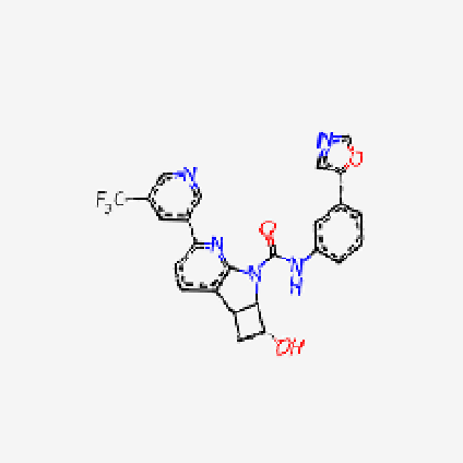 O=C(Nc1cccc(-c2cnco2)c1)N1c2nc(-c3cncc(C(F)(F)F)c3)ccc2C2C[C@@H](O)C21